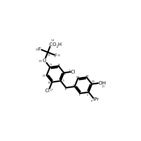 CC(C)c1cc(Cc2c(Cl)cc(OC(F)(F)C(=O)O)cc2Cl)ccc1O